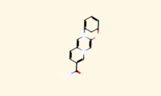 NC(=O)C1=CN2C=C3OC4C=CC=C(C4)N3C=C2C=C1